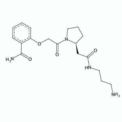 NCCCNC(=O)C[C@@H]1CCCN1C(=O)COc1ccccc1C(N)=O